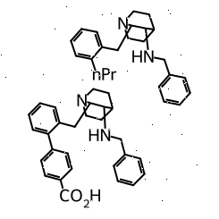 CCCc1ccccc1CC1C(NCc2ccccc2)C2CCN1CC2.O=C(O)c1ccc(-c2ccccc2CC2C(NCc3ccccc3)C3CCN2CC3)cc1